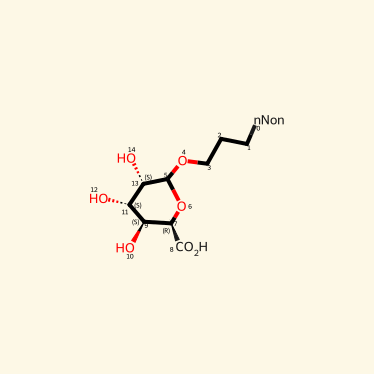 CCCCCCCCCCCCOC1O[C@@H](C(=O)O)[C@@H](O)[C@H](O)[C@@H]1O